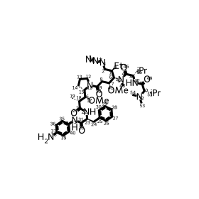 CC[C@H](CN=[N+]=[N-])[C@@H]([C@@H](CC(=O)N1CCC[C@H]1[C@H](OC)[C@@H](C)C(=O)N[C@@H](Cc1ccccc1)C(=O)Nc1ccc(N)cc1)OC)N(C)C(=O)[C@@H](NC(=O)[C@H](C(C)C)N(C)C)C(C)C